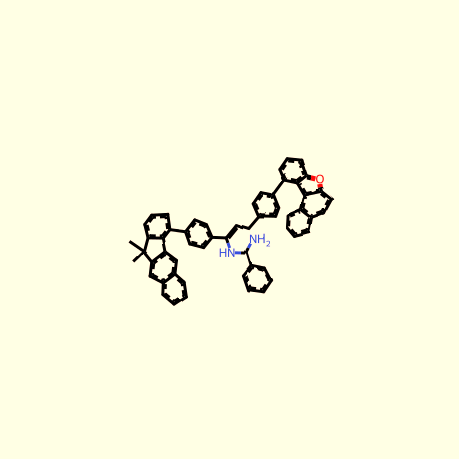 CC1(C)c2cc3ccccc3cc2-c2c(-c3ccc(/C(=C/Cc4ccc(-c5cccc6oc7ccc8ccccc8c7c56)cc4)NC(N)c4ccccc4)cc3)cccc21